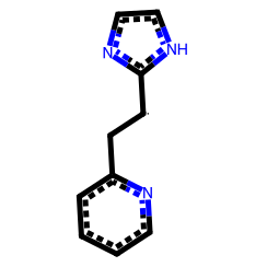 [CH](Cc1ccccn1)c1ncc[nH]1